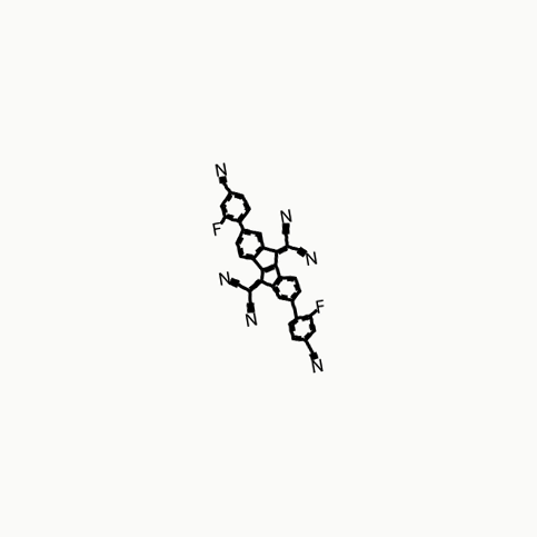 N#CC(C#N)=C1C2=C(C(=C(C#N)C#N)c3cc(-c4ccc(C#N)cc4F)ccc32)c2ccc(-c3ccc(C#N)cc3F)cc21